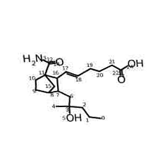 CCCC(C)(O)CC1C2CCC(C(N)=O)(C2)C1C=CCCCC(=O)O